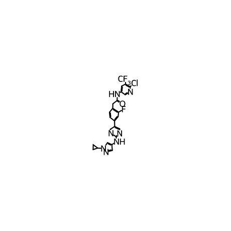 O=C(Cc1ccc(-c2cnc(Nc3cnn(C4CC4)c3)nc2)cc1F)Nc1cnc(Cl)c(C(F)(F)F)c1